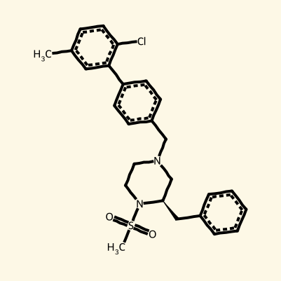 Cc1ccc(Cl)c(-c2ccc(CN3CCN(S(C)(=O)=O)[C@H](Cc4ccccc4)C3)cc2)c1